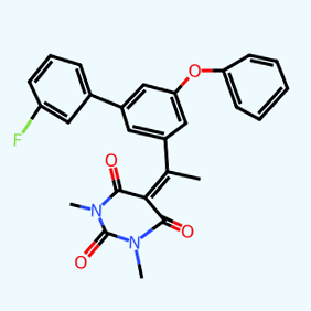 CC(=C1C(=O)N(C)C(=O)N(C)C1=O)c1cc(Oc2ccccc2)cc(-c2cccc(F)c2)c1